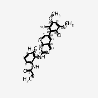 C=CC(=O)Nc1cccc(C)c1Nc1ncc2cc(-c3c(Cl)c(OC)cc(OC)c3I)cnc2n1